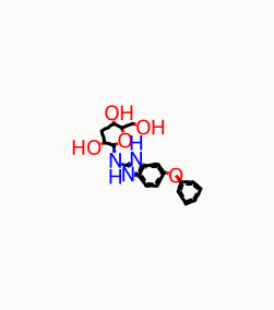 OCC1OC(Nc2nc3ccc(Oc4ccccc4)cc3[nH]2)C(O)CC1O